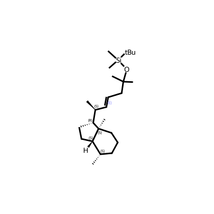 C[C@@H](/C=C/CC(C)(C)O[Si](C)(C)C(C)(C)C)[C@H]1CC[C@H]2[C@@H](C)CCC[C@]12C